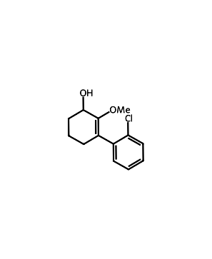 COC1=C(c2ccccc2Cl)CCCC1O